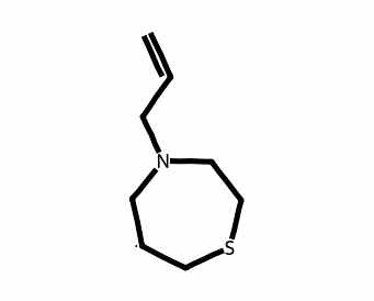 C=CCN1C[CH]CSCC1